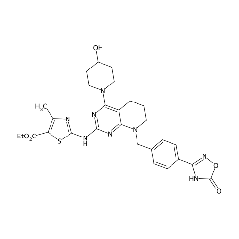 CCOC(=O)c1sc(Nc2nc(N3CCC(O)CC3)c3c(n2)N(Cc2ccc(-c4noc(=O)[nH]4)cc2)CCC3)nc1C